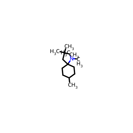 CC1CCC(CC(C)(C)C)(N(C)C)CC1